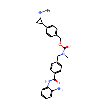 CC(C)N[C@H]1CC1c1ccc(COC(=O)N(C)Cc2ccc(C(=O)Nc3ccccc3N)cc2)cc1